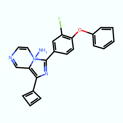 N[N+]12C=CN=CC1=C(C1=CC=C1)N=C2c1ccc(Oc2ccccc2)c(F)c1